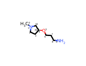 CN1CC[C@H](OCCCN)C1